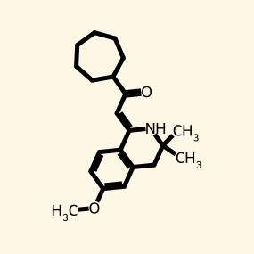 COc1ccc2c(c1)CC(C)(C)NC2=CC(=O)C1CCCCCC1